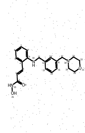 O=C(C=Cc1ccccc1NCc1cccc(CN2CCOCC2)c1)NO